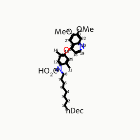 CCCCCCCCCCCCCCCCCCN(C(=O)O)c1cc(C)c(Oc2ccnc3cc(OC)c(OC)cc23)cc1C